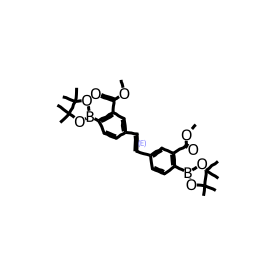 COC(=O)c1cc(/C=C/c2ccc(B3OC(C)(C)C(C)(C)O3)c(C(=O)OC)c2)ccc1B1OC(C)(C)C(C)(C)O1